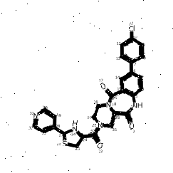 O=C1Nc2ccc(-c3ccc(Cl)cc3)cc2C(=O)N2CCN(C(=O)C3CSC(c4ccncc4)N3)CC12